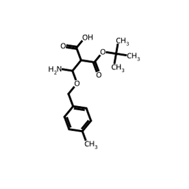 Cc1ccc(COC(N)C(C(=O)O)C(=O)OC(C)(C)C)cc1